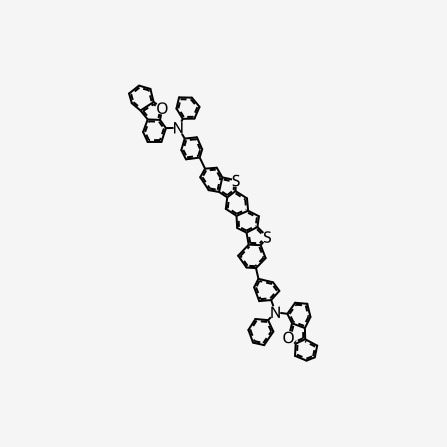 c1ccc(N(c2ccc(-c3ccc4c(c3)sc3cc5cc6sc7cc(-c8ccc(N(c9ccccc9)c9cccc%10c9oc9ccccc9%10)cc8)ccc7c6cc5cc34)cc2)c2cccc3c2oc2ccccc23)cc1